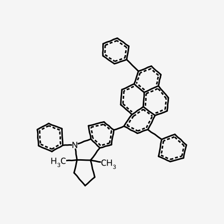 CC12CCCC1(C)N(c1ccccc1)c1ccc(-c3cc(-c4ccccc4)c4ccc5ccc(-c6ccccc6)c6ccc3c4c56)cc12